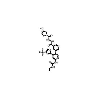 CCNC(=O)Nc1cc(-c2nc(C(F)(F)F)cs2)c(-c2cncc(C(=O)NNC(=O)N3CC[C@@H](O)C3)c2)cn1